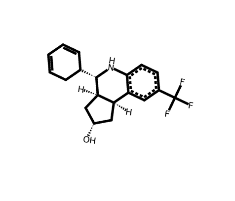 O[C@@H]1C[C@@H]2[C@H](C1)c1cc(C(F)(F)F)ccc1N[C@H]2C1C=CC=CC1